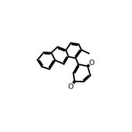 Cc1ccc2cc3ccccc3cc2c1C1=CC(=O)C=CC1=O